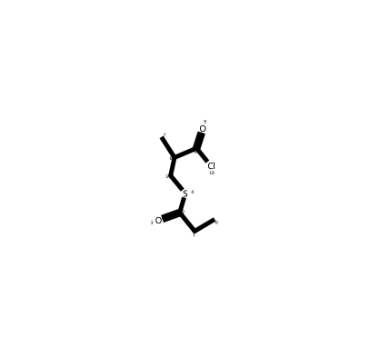 CCC(=O)SCC(C)C(=O)Cl